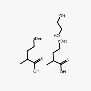 CCCCCCCCCCCCC(C)C(O)=S.CCCCCCCCCCCCC(C)C(O)=S.OCCO